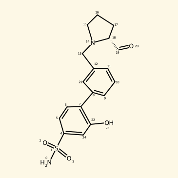 NS(=O)(=O)c1ccc(-c2cccc(CN3CCC[C@@H]3C=O)c2)c(O)c1